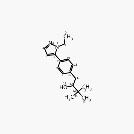 CCn1nccc1-c1ccc([CH]C(O)C(C)(C)C)cc1